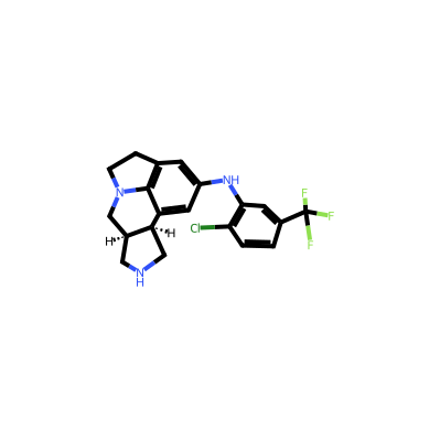 FC(F)(F)c1ccc(Cl)c(Nc2cc3c4c(c2)[C@H]2CNC[C@H]2CN4CC3)c1